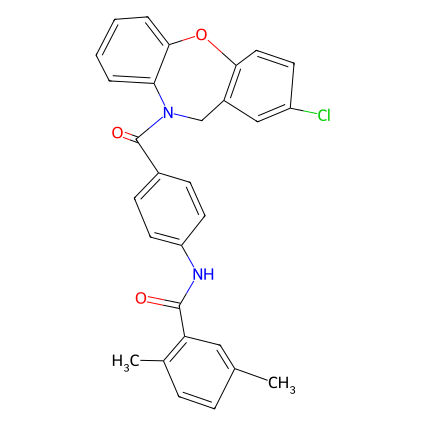 Cc1ccc(C)c(C(=O)Nc2ccc(C(=O)N3Cc4cc(Cl)ccc4Oc4ccccc43)cc2)c1